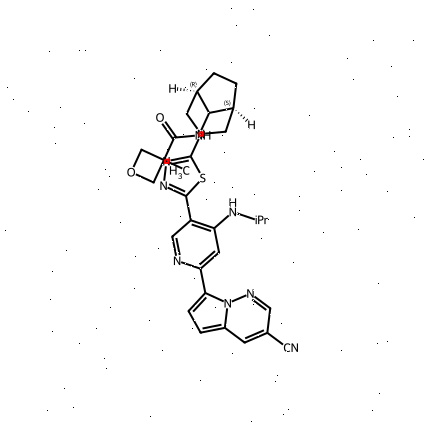 CC(C)Nc1cc(-c2ccc3cc(C#N)cnn23)ncc1-c1nnc(N2C[C@H]3CC[C@@H](C2)C3NC(=O)C2(C)COC2)s1